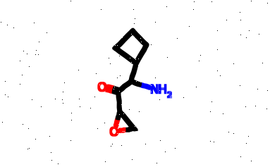 NC(C(=O)C1CO1)C1CCC1